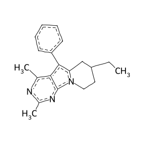 CCC1CCn2c(c(-c3ccccc3)c3c(C)nc(C)nc32)C1